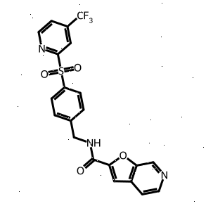 O=C(NCc1ccc(S(=O)(=O)c2cc(C(F)(F)F)ccn2)cc1)c1cc2ccncc2o1